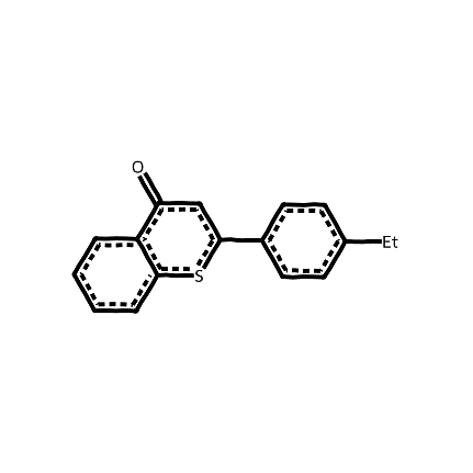 CCc1ccc(-c2cc(=O)c3ccccc3s2)cc1